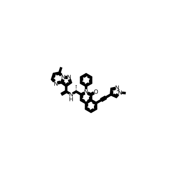 C=C(N[C@H](C)c1cc2cccc(C#Cc3cnn(C)c3)c2c(=O)n1-c1ccccc1)c1cnn2c(C)ccnc12